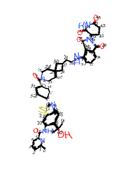 Cc1cccc(C(=O)Nc2cc3sc([C@H]4CC[C@H](C(=O)N5CCC6(CC5)CC(CCNc5cccc7c5C(=O)N(C5CCC(=O)NC5=O)C7=O)C6)CC4)nc3cc2C(C)(C)O)n1